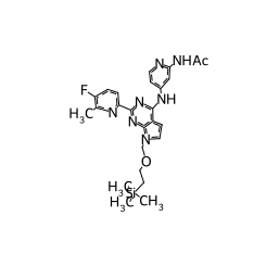 CC(=O)Nc1cc(Nc2nc(-c3ccc(F)c(C)n3)nc3c2ccn3COCC[Si](C)(C)C)ccn1